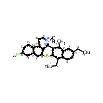 Cc1c2c(c(CC(C)(C)C)c3ccc(CC(C)(C)C)cc13)Sc1cc3cc(F)ccc3c3cc[n+](C)c-2c13